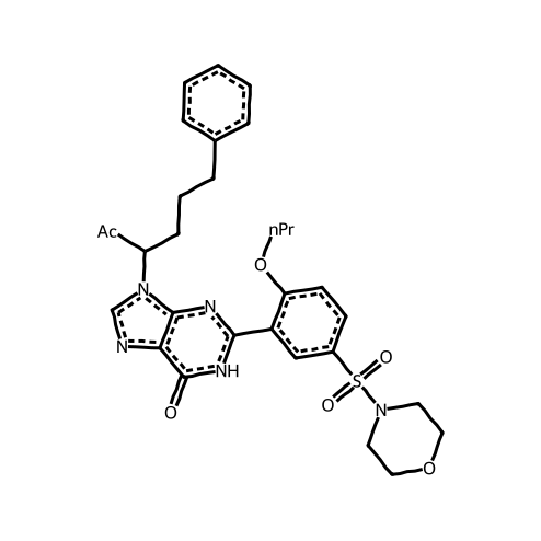 CCCOc1ccc(S(=O)(=O)N2CCOCC2)cc1-c1nc2c(ncn2C(CCCc2ccccc2)C(C)=O)c(=O)[nH]1